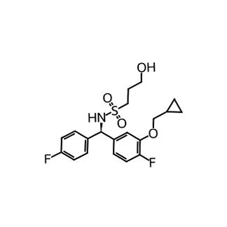 O=S(=O)(CCCO)N[C@H](c1ccc(F)cc1)c1ccc(F)c(OCC2CC2)c1